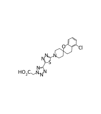 O=C(O)Cn1nnc(-c2nnc(N3CCC4(CCc5c(Cl)cccc5O4)CC3)s2)n1